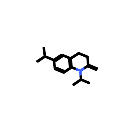 C=C1CCc2cc(C(C)C)ccc2N1C(C)C